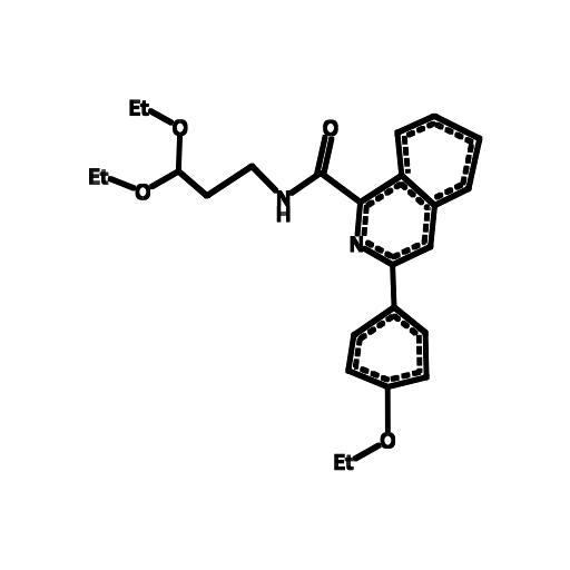 CCOc1ccc(-c2cc3ccccc3c(C(=O)NCCC(OCC)OCC)n2)cc1